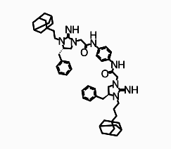 N=C1N(CC(=O)Nc2ccc(NC(=O)CN3C[C@H](Cc4ccccc4)N(CCC45CC6CC(CC(C6)C4)C5)C3=N)cc2)C[C@H](Cc2ccccc2)N1CCCC12CC3CC(CC(C3)C1)C2